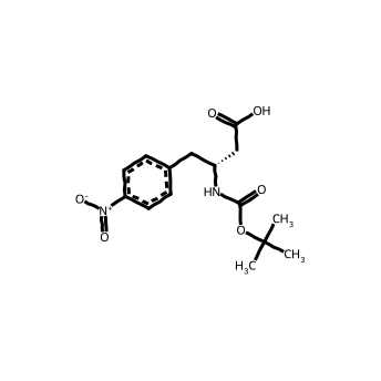 CC(C)(C)OC(=O)N[C@@H](CC(=O)O)Cc1ccc([N+](=O)[O-])cc1